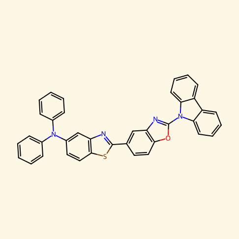 c1ccc(N(c2ccccc2)c2ccc3sc(-c4ccc5oc(-n6c7ccccc7c7ccccc76)nc5c4)nc3c2)cc1